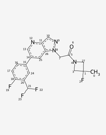 CC1(F)CN(C(=O)Cn2ncc3ncc(-c4ccc(F)c(C(F)F)c4)cc32)C1